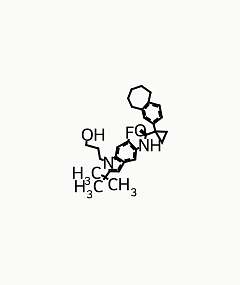 CC(C)(C)c1cc2cc(NC(=O)C3(c4ccc5c(c4)CCCCC5)CC3)c(F)cc2n1CCCO